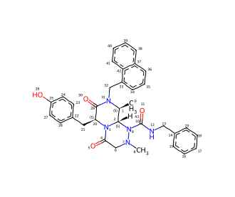 C[C@H]1[C@H]2N(C(=O)CN(C)N2C(=O)NCc2ccccc2)[C@@H](Cc2ccc(O)cc2)C(=O)N1Cc1cccc2ccccc12